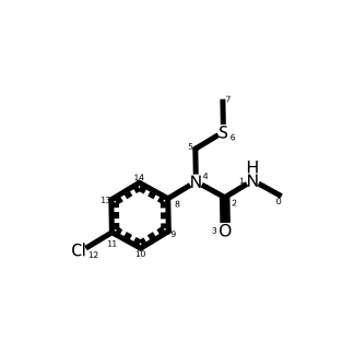 CNC(=O)N(CSC)c1ccc(Cl)cc1